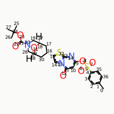 Cc1ccc(S(=O)(=O)Oc2cc(=O)n3cc([C@H]4C[C@@H]5CN(C(=O)OC(C)(C)C)C[C@H](C4)O5)sc3n2)cc1